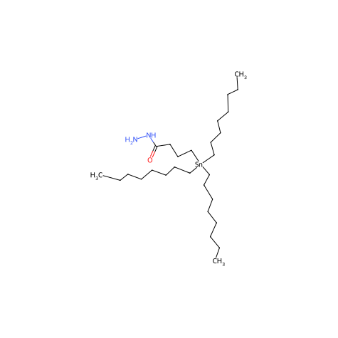 CCCCCCC[CH2][Sn]([CH2]CCCCCCC)([CH2]CCCCCCC)[CH2]CCC(=O)NN